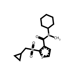 CN(C(=O)c1ccsc1S(=O)(=O)CC1CC1)C1CCCCC1